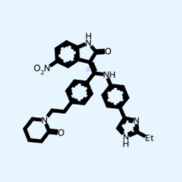 CCc1nc(-c2ccc(N/C(=C3\C(=O)Nc4ccc([N+](=O)[O-])cc43)c3ccc(CCN4CCCCC4=O)cc3)cc2)c[nH]1